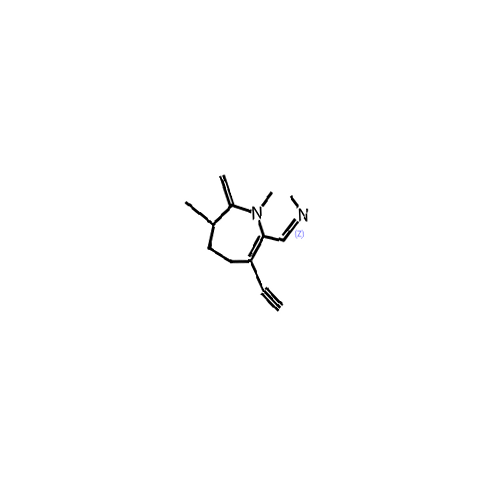 C#CC1=C(/C=N\C)N(C)C(=C)C(C)CC1